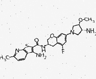 CO[C@@H]1CN(c2cc(F)c3c(c2)OC[C@H](NC(=O)c2sc4nc(C)ccc4c2N)C3)C[C@H]1N